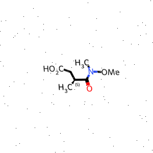 CON(C)C(=O)[C@@H](C)CC(=O)O